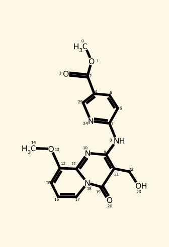 COC(=O)c1ccc(Nc2nc3c(OC)cccn3c(=O)c2CO)nc1